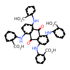 O=C(O)c1ccccc1Nc1ccc(Nc2ccccc2C(=O)O)c2c1C(=O)c1c(Nc3ccccc3C(=O)O)ccc(Nc3ccccc3C(=O)O)c1C2=O